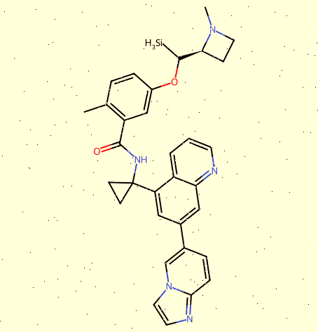 Cc1ccc(OC([SiH3])[C@@H]2CCN2C)cc1C(=O)NC1(c2cc(-c3ccc4nccn4c3)cc3ncccc23)CC1